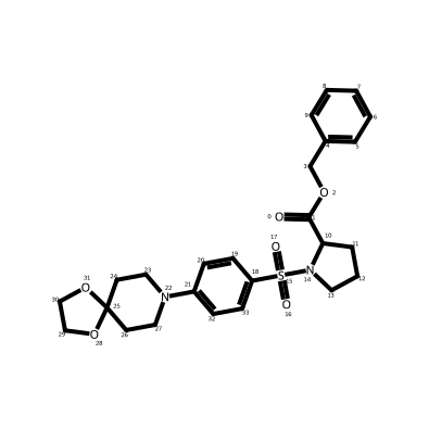 O=C(OCc1ccccc1)C1CCCN1S(=O)(=O)c1ccc(N2CCC3(CC2)OCCO3)cc1